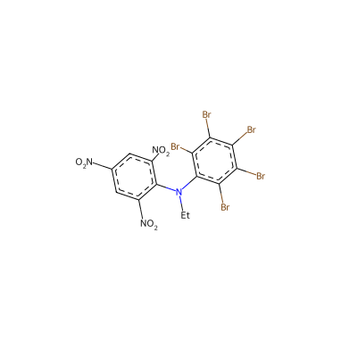 CCN(c1c([N+](=O)[O-])cc([N+](=O)[O-])cc1[N+](=O)[O-])c1c(Br)c(Br)c(Br)c(Br)c1Br